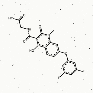 Cn1c(=O)c(C(=O)NCC(=O)O)c(O)c2ccc(Oc3cc(F)cc(F)c3)cc21